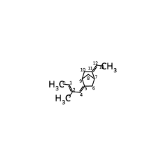 CC=C(C)C=C1CC2CC1CC2=CC